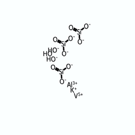 O=[Si]([O-])[O-].O=[Si]([O-])[O-].O=[Si]([O-])[O-].[Al+3].[K+].[OH-].[OH-].[OH-].[V+5]